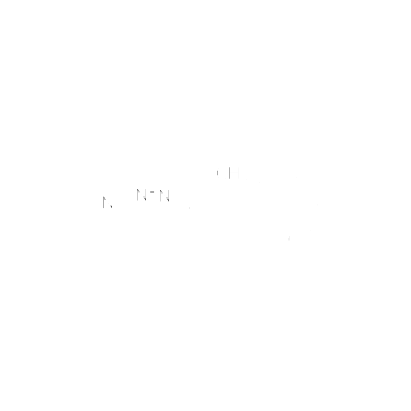 C/C(=C\c1ccccc1)CN=[N+]=[N-]